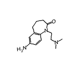 CN(C)CCN1C(=O)CCCc2cc(N)ccc21